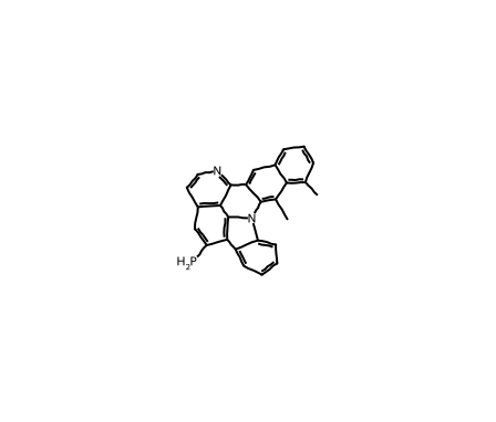 Cc1cccc2cc3c4nccc5cc(P)c6c7ccccc7n(c3c(C)c12)c6c54